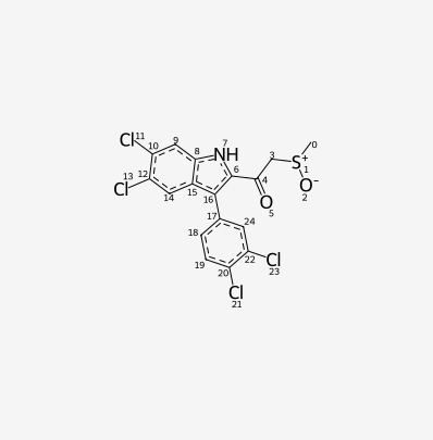 C[S+]([O-])CC(=O)c1[nH]c2cc(Cl)c(Cl)cc2c1-c1ccc(Cl)c(Cl)c1